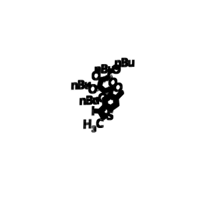 CCCCOC[C@H]1O[C@]2(OCc3cc4sc(C)c(I)c4cc32)[C@H](OCCCC)[C@@H](OCCCC)[C@@H]1OCCCC